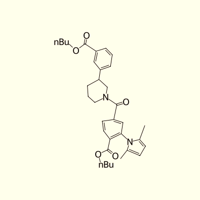 CCCCOC(=O)c1cccc(C2CCCN(C(=O)c3ccc(C(=O)OCCCC)c(-n4c(C)ccc4C)c3)C2)c1